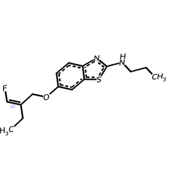 CCCNc1nc2ccc(OC/C(=C\F)CC)cc2s1